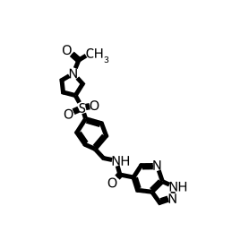 CC(=O)N1CCC(S(=O)(=O)c2ccc(CNC(=O)c3cnc4[nH]ncc4c3)cc2)C1